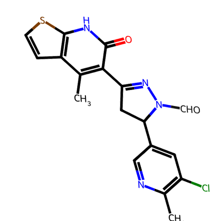 Cc1ncc(C2CC(c3c(C)c4ccsc4[nH]c3=O)=NN2C=O)cc1Cl